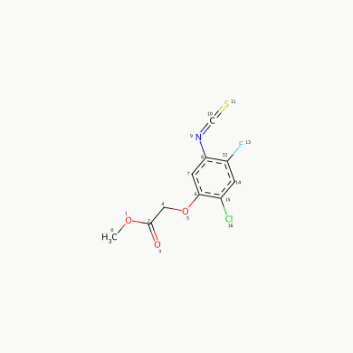 COC(=O)COc1cc(N=C=S)c(F)cc1Cl